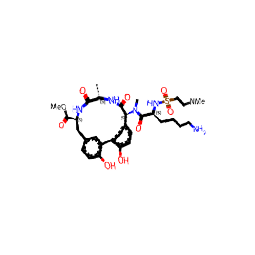 CNCCS(=O)(=O)N[C@@H](CCCCN)C(=O)N(C)[C@@H]1C(=O)N[C@@H](C)C(=O)N[C@H](C(=O)OC)Cc2ccc(O)c(c2)-c2cc1ccc2O